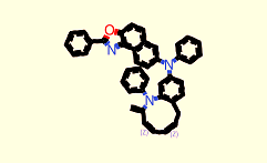 C=C1/C=C\C=C/Cc2ccc(N(c3ccccc3)c3ccc4c(ccc5oc(-c6ccccc6)nc54)c3)cc2N1c1ccccc1